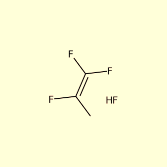 CC(F)=C(F)F.F